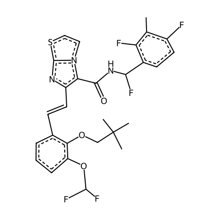 Cc1c(F)ccc(C(F)NC(=O)c2c(C=Cc3cccc(OC(F)F)c3OCC(C)(C)C)nc3sccn23)c1F